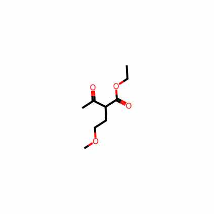 CCOC(=O)C(CCOC)C(C)=O